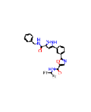 CCC(CC)NC(=O)c1cnc(-c2cccc(-c3cc(C(=O)NCc4ccccc4)n[nH]3)c2)o1